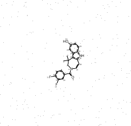 CC1(C)CN(C(=O)c2ccc(F)c(F)c2)C=Cc2[nH]c3ccc(O)cc3c21